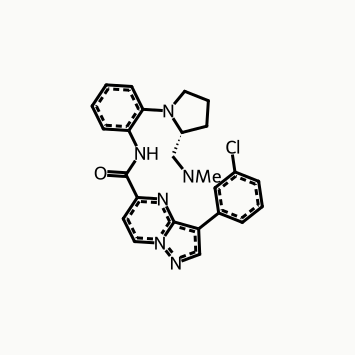 CNC[C@H]1CCCN1c1ccccc1NC(=O)c1ccn2ncc(-c3cccc(Cl)c3)c2n1